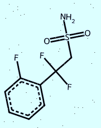 NS(=O)(=O)CC(F)(F)c1ccccc1F